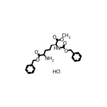 COC(=O)[C@H](CCCC(N)C(=O)OCc1ccccc1)NC(=O)OCc1ccccc1.Cl